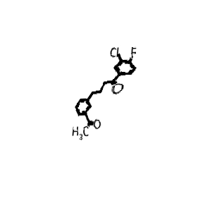 CC(=O)c1cccc(CCCC(=O)c2ccc(F)c(Cl)c2)c1